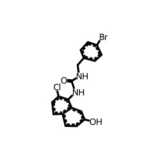 O=C(NCc1ccc(Br)cc1)Nc1c(Cl)ccc2ccc(O)cc12